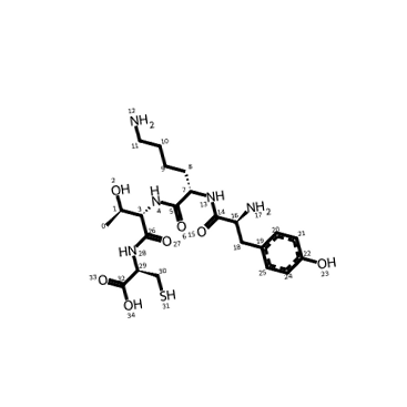 C[C@@H](O)[C@H](NC(=O)[C@H](CCCCN)NC(=O)[C@@H](N)Cc1ccc(O)cc1)C(=O)N[C@@H](CS)C(=O)O